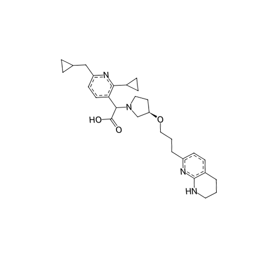 O=C(O)C(c1ccc(CC2CC2)nc1C1CC1)N1CC[C@@H](OCCCc2ccc3c(n2)NCCC3)C1